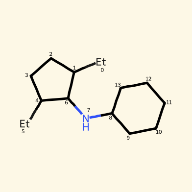 CCC1CCC(CC)C1NC1CCCCC1